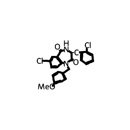 COc1ccc(CN2C(=O)[C@@H](Cc3ccccc3Cl)NC(=O)c3cc(Cl)ccc32)cc1